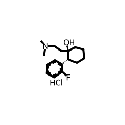 CN(C)CC[C@]1(O)CCCC[C@@H]1c1ccccc1F.Cl